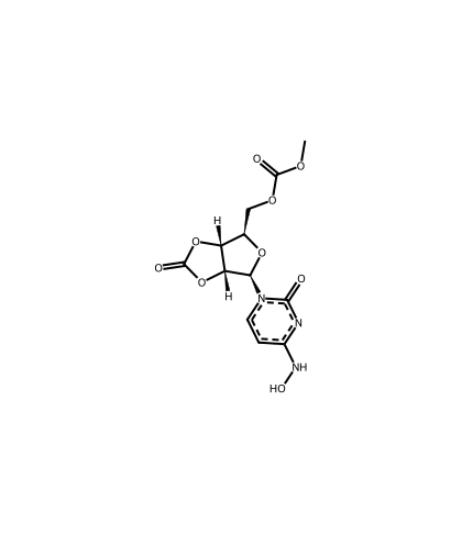 COC(=O)OC[C@H]1O[C@@H](n2ccc(NO)nc2=O)[C@@H]2OC(=O)O[C@@H]21